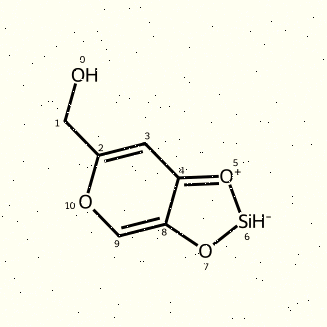 OCC1=CC2=[O+][SiH-]OC2=CO1